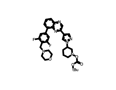 CC(C)(C)OC(=O)ON1CCCC(n2cc(-c3cnc4cccc(-c5cc(F)c(CN6CCOCC6)c(F)c5)c4n3)cn2)C1